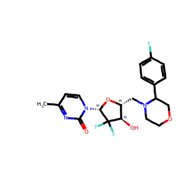 Cc1ccn([C@@H]2O[C@H](CN3CCOCC3c3ccc(F)cc3)[C@@H](O)C2(F)F)c(=O)n1